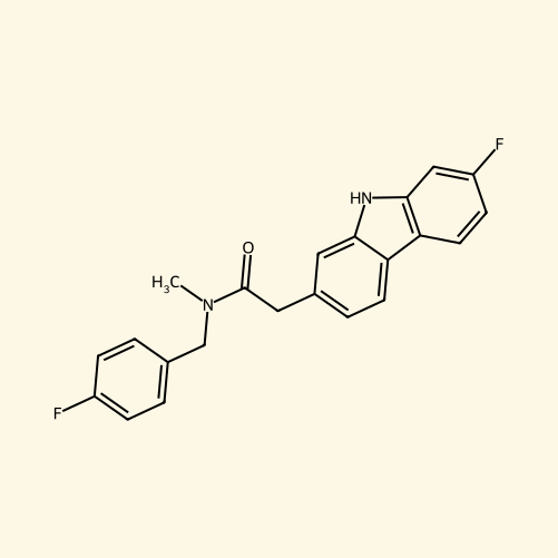 CN(Cc1ccc(F)cc1)C(=O)Cc1ccc2c(c1)[nH]c1cc(F)ccc12